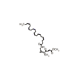 CC/C=C\C/C=C\C/C=C\C/C=C\C/C=C\C/C=C\CCC(=O)NCC1CC1N(C)C(=O)/C=C/C(=O)OC